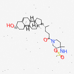 CC(CCC(=O)N1CCC(C)(NS(C)(=O)=O)CC1)[C@H]1CC[C@H]2[C@@H]3CC=C4C[C@@H](O)CC[C@]4(C)[C@H]3CC[C@]12C